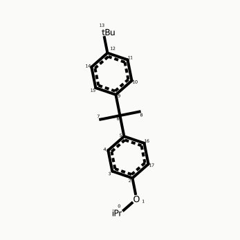 CC(C)Oc1ccc(C(C)(C)c2ccc(C(C)(C)C)cc2)cc1